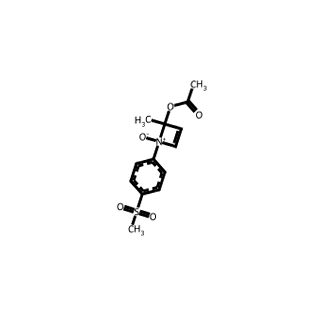 CC(=O)OC1(C)C=C[N+]1([O-])c1ccc(S(C)(=O)=O)cc1